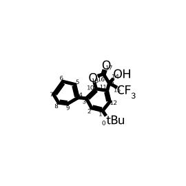 CC(C)(C)c1cc(-c2ccccc2)c2c(c1)C(O)(C(F)(F)F)C(=O)O2